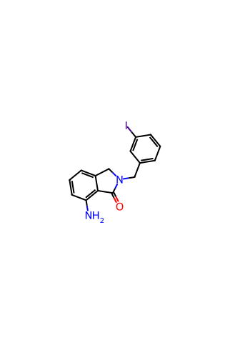 Nc1cccc2c1C(=O)N(Cc1cccc(I)c1)C2